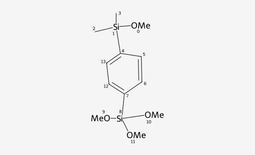 CO[Si](C)(C)c1ccc([Si](OC)(OC)OC)cc1